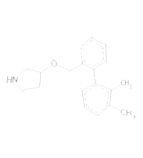 Cc1cccc(-c2ccccc2COC2CCNC2)c1C